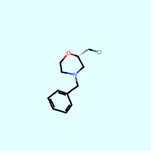 ClC[C@@H]1CN(Cc2ccccc2)CCO1